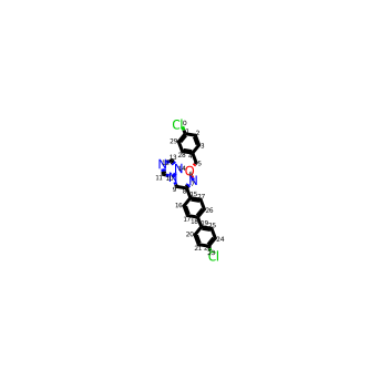 Clc1ccc(CON=C(Cn2cncn2)c2ccc(-c3ccc(Cl)cc3)cc2)cc1